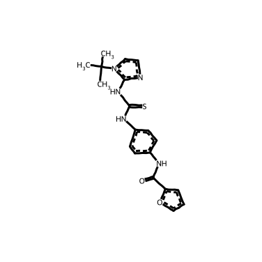 CC(C)(C)n1ccnc1NC(=S)Nc1ccc(NC(=O)c2ccco2)cc1